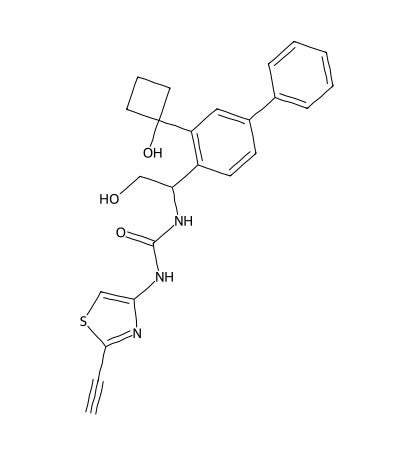 C#Cc1nc(NC(=O)NC(CO)c2ccc(-c3ccccc3)cc2C2(O)CCC2)cs1